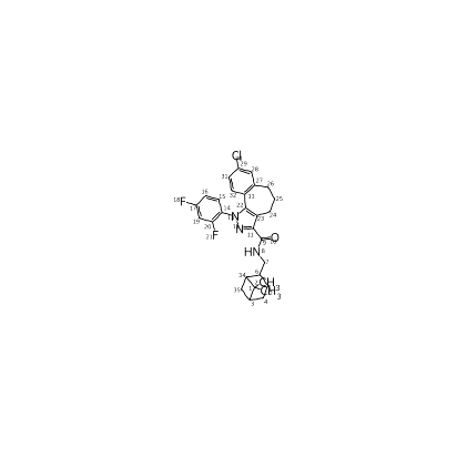 CC1(C)C2CCC(CNC(=O)c3nn(-c4ccc(F)cc4F)c4c3CCCc3cc(Cl)ccc3-4)C1C2